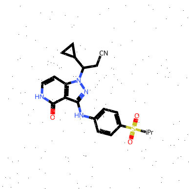 CC(C)S(=O)(=O)c1ccc(Nc2nn(C(CC#N)C3CC3)c3cc[nH]c(=O)c23)cc1